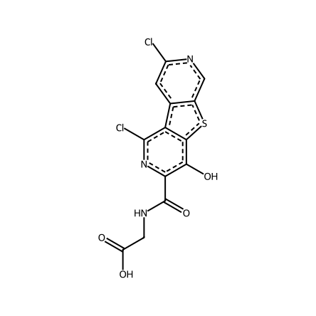 O=C(O)CNC(=O)c1nc(Cl)c2c(sc3cnc(Cl)cc32)c1O